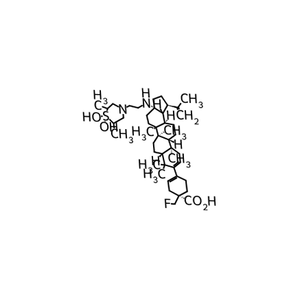 C=C(C)[C@@H]1CC[C@]2(NCCN3CC(C)S(O)(O)C(C)C3)CC[C@]3(C)[C@H](CC[C@@H]4[C@@]5(C)CC=C(C6=CC[C@@](CF)(C(=O)O)CC6)C(C)(C)[C@@H]5CC[C@]43C)[C@@H]12